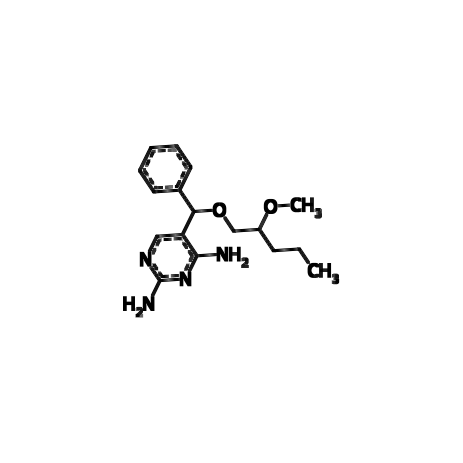 CCCC(COC(c1ccccc1)c1cnc(N)nc1N)OC